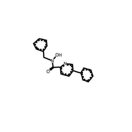 O=C(c1ccc(-c2ccccc2)cn1)N(O)Cc1ccccc1